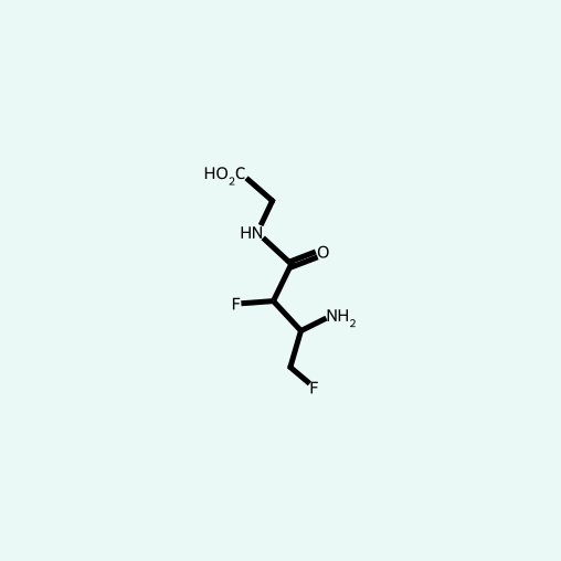 NC(CF)C(F)C(=O)NCC(=O)O